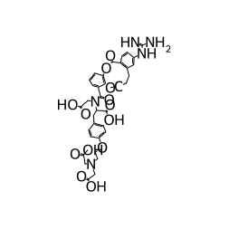 N=C(N)Nc1ccc2c(c1)CCCOc1c(cccc1C(=O)N(CC(=O)O)C(Cc1ccc(OCCN(CC(=O)O)CC(=O)O)cc1)C(=O)O)OC2=O